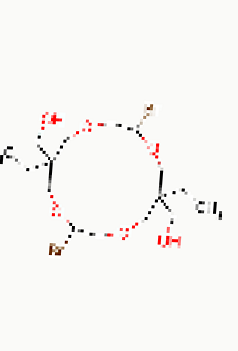 CCC1(CO)COCC(Br)OCC(CC)(CO)COCC(Br)OC1